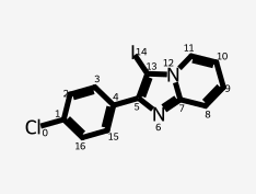 Clc1ccc(-c2nc3ccccn3c2I)cc1